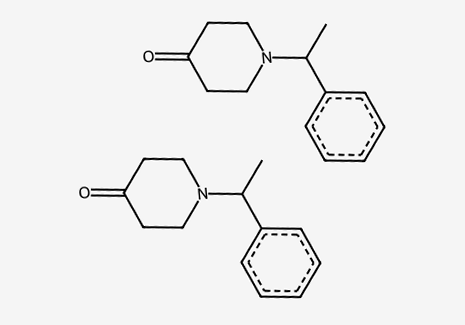 CC(c1ccccc1)N1CCC(=O)CC1.CC(c1ccccc1)N1CCC(=O)CC1